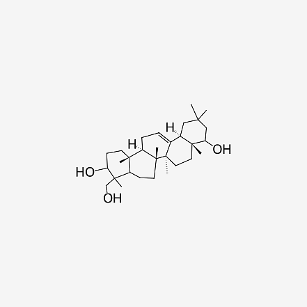 CC1(C)CC(O)[C@]2(C)CC[C@]3(C)C(=CC[C@@H]4[C@@]5(C)CCC(O)C(C)(CO)C5CC[C@]43C)[C@H]2C1